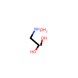 CO.NCCO.O